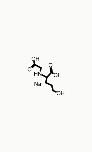 O=C(O)CNC(CCCO)C(=O)O.[Na]